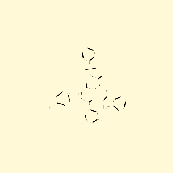 Cc1cc(C)cc(C(=O)N(C)[C@H](Cc2ccc(C#N)cc2)C(=O)N[C@@H](Cc2c[nH]c3ccccc23)C(=O)NS(=O)(=O)c2ccccc2)c1